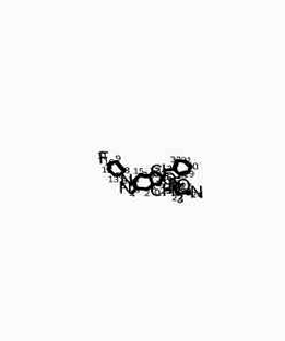 C[C@]12Cc3cnn(-c4ccc(F)cc4)c3C=C1CC[C@@H]2CN(CC#N)S(=O)(=O)c1ccccc1Cl